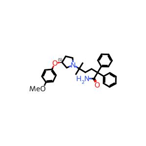 COc1ccc(O[C@H]2CCN(C(C)(C)CCC(C(N)=O)(c3ccccc3)c3ccccc3)C2)cc1